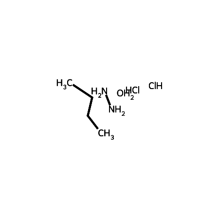 CCCC.Cl.Cl.NN.O